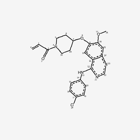 C=CC(=O)N1CCC(Oc2cc3c(Nc4ccc(Cl)cc4)ncnc3cc2OC)CC1